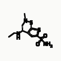 CCNC1CN(C)Sc2sc(S(N)(=O)=O)cc21